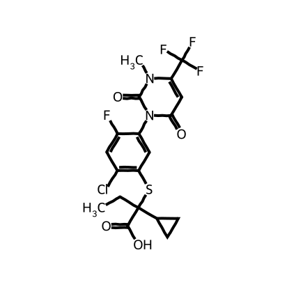 CCC(Sc1cc(-n2c(=O)cc(C(F)(F)F)n(C)c2=O)c(F)cc1Cl)(C(=O)O)C1CC1